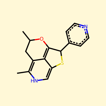 CC1=C2CC(C)OC3=C2C(=CN1)SC3c1ccncc1